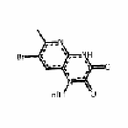 CCCCn1c(=O)c(=O)[nH]c2nc(C)c(Br)cc21